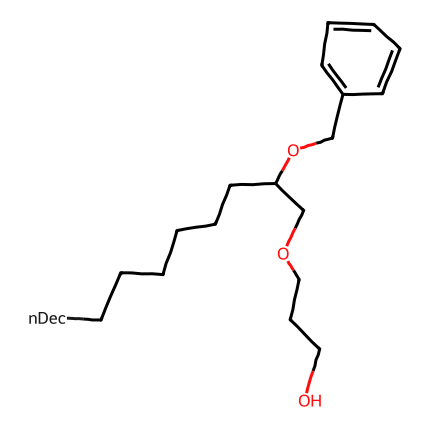 CCCCCCCCCCCCCCCCC(COCCCO)OCc1ccccc1